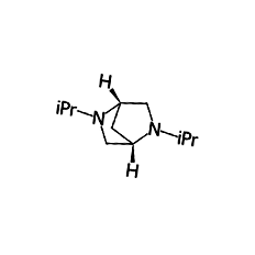 CC(C)N1C[C@@H]2C[C@H]1CN2C(C)C